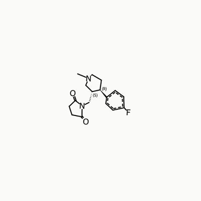 CN1CC[C@@H](c2ccc(F)cc2)[C@H](CN2C(=O)CCC2=O)C1